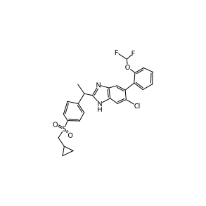 CC(c1ccc(S(=O)(=O)CC2CC2)cc1)c1nc2cc(-c3ccccc3OC(F)F)c(Cl)cc2[nH]1